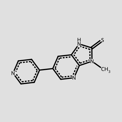 Cn1c(=S)[nH]c2cc(-c3ccncc3)cnc21